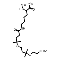 CC(=O)NCCOC(C)(C)CCOC(C)(C)CCC(=O)NCCCCC(NC(C)(C)C)C(=O)C(C)(C)C